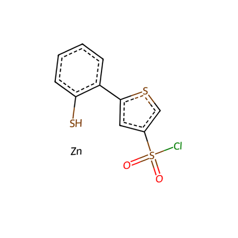 O=S(=O)(Cl)c1csc(-c2ccccc2S)c1.[Zn]